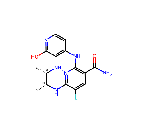 C[C@H](N)[C@@H](C)Nc1nc(Nc2ccnc(O)c2)c(C(N)=O)cc1F